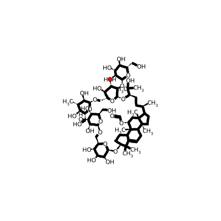 C[C@@H]1[C@@H](O)[C@H](OC[C@H]2O[C@@H](O[C@H](CC[C@@H](C)C3CC[C@@]4(C)C5CC=C6C(CC[C@H](O[C@@H]7O[C@H](CO[C@@H]8O[C@H](CO)[C@@H](O)[C@H](O)[C@H]8O)[C@@H](O)[C@H](O)[C@H]7O)C6(C)C)[C@]5(C)[C@H](OC=O)C[C@]34C)C(C)(C)O)[C@H](O[C@H]3O[C@@H](CO)[C@H](O)[C@@H](O)[C@@H]3O)[C@@H](O)[C@@H]2O)O[C@H](CO)[C@H]1O